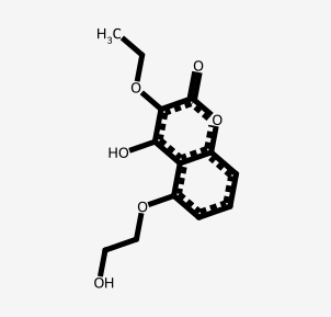 CCOc1c(O)c2c(OCCO)cccc2oc1=O